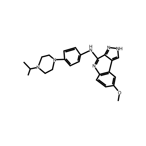 COc1ccc2nc(Nc3ccc(N4CCN(C(C)C)CC4)cc3)c3n[nH]cc3c2c1